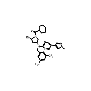 CC[C@@H]1C[C@H](N(Cc2cc(C(F)(F)F)cc(C(F)(F)F)c2)c2ncc(-c3cnn(C)c3)cn2)CN1C(=O)C1CCCCC1